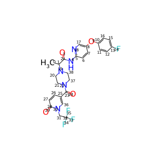 CC(C(=O)Nc1ccc(Oc2ccc(F)cc2)cn1)N1CCN(C(=O)c2ccc(=O)n(CC(F)(F)F)c2)CC1